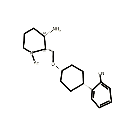 CC(=O)N1CCC[C@H](N)[C@@H]1CO[C@H]1CC[C@@H](c2ccccc2C#N)CC1